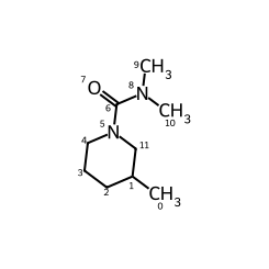 CC1CCCN(C(=O)N(C)C)C1